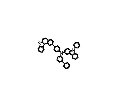 C1=CC2Sc3ccccc3C2c2cc(-c3ccc(N(c4cccc(-c5ccccc5)c4)c4ccc5c(c4)c4ccccc4n5-c4ccccc4)cc3)ccc21